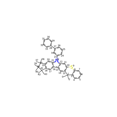 CC1(C)c2ccccc2Sc2cc3c(cc21)c1cc2c(cc1n3-c1cccc(-c3ccccc3)c1)C(C)(C)C(C)(C)C2(C)C